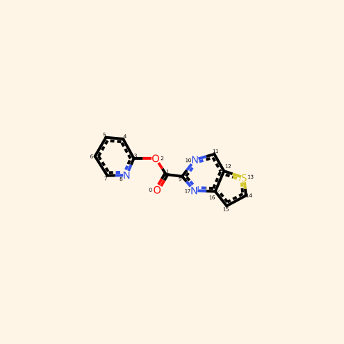 O=C(Oc1ccccn1)c1ncc2sccc2n1